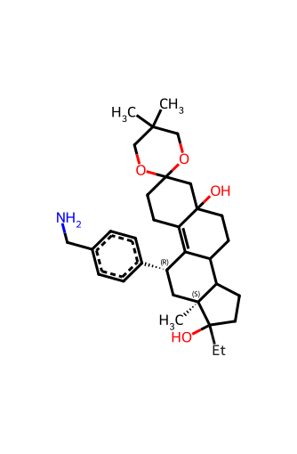 CCC1(O)CCC2C3CCC4(O)CC5(CCC4=C3[C@@H](c3ccc(CN)cc3)C[C@@]21C)OCC(C)(C)CO5